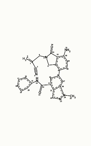 C=C(C#N)CN1Cc2c(-c3cc(C(=O)Nc4ccccc4)c4cnn(C)c4c3)ccc(N)c2C1=O